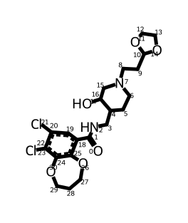 O=C(NCC1CCN(CCC2OCCO2)CC1O)c1cc(Cl)c(Cl)c2c1OCCCO2